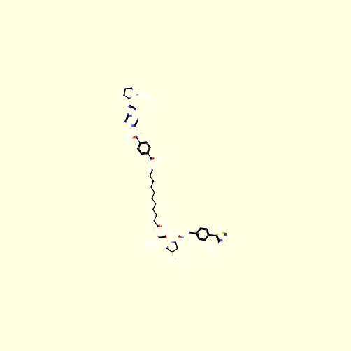 Cc1ncsc1-c1ccc(CNC(=O)[C@@H]2C[C@@H](O)CN2C(=O)[C@@H](NC(=O)CCCCCCCCCCNC(=O)c2ccc(C(=O)Nc3cn4cc([C@H]5CCCN5C)nc4cn3)cc2)C(C)(C)C)cc1